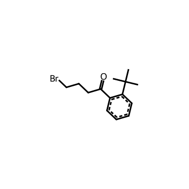 CC(C)(C)c1ccccc1C(=O)CCCBr